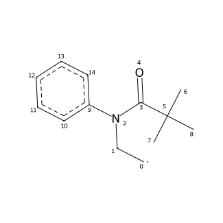 [CH2]CN(C(=O)C(C)(C)C)c1ccccc1